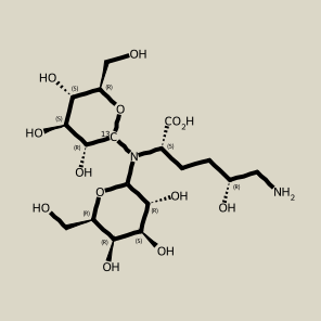 NC[C@H](O)CC[C@@H](C(=O)O)N(C1O[C@H](CO)[C@H](O)[C@H](O)[C@H]1O)[13CH]1O[C@H](CO)[C@@H](O)[C@H](O)[C@H]1O